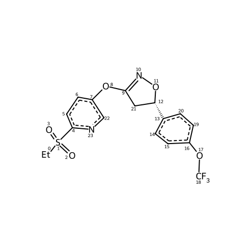 CCS(=O)(=O)c1ccc(OC2=NO[C@H](c3ccc(OC(F)(F)F)cc3)C2)cn1